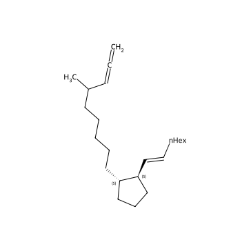 C=C=CC(C)CCCCC[C@H]1CCC[C@@H]1C=CCCCCCC